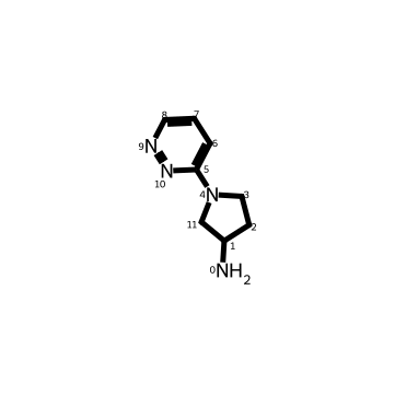 NC1CCN(c2cccnn2)C1